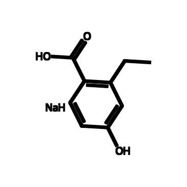 CCc1cc(O)ccc1C(=O)O.[NaH]